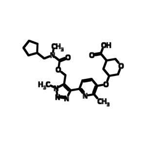 Cc1nc(-c2nnn(C)c2COC(=O)N(C)CC2CCCC2)ccc1OC1COCC(C(=O)O)C1